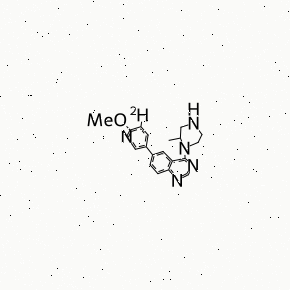 [2H]c1cc(-c2ccc3ncnc(N4CCNCC4C)c3c2)cnc1OC